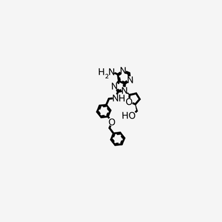 Nc1ncnc2c1nc(NCc1cccc(OCc3ccccc3)c1)n2[C@H]1CC[C@@H](CO)O1